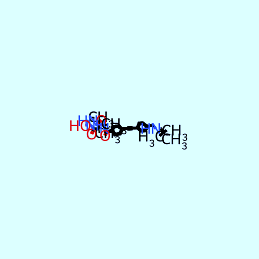 CNC(=O)[C@@](C)(C(=O)NO)N(C)C(=O)c1ccc(C#Cc2ccc(CNCC(C)(C)C)cc2)cc1